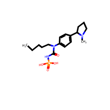 CCCCCN(C(=O)NP(=O)(O)O)c1ccc(C2CCCN2C)cc1